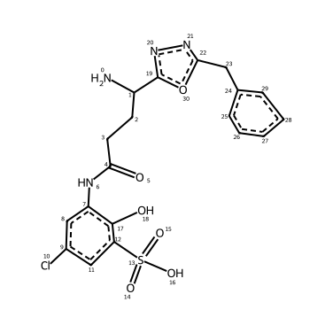 NC(CCC(=O)Nc1cc(Cl)cc(S(=O)(=O)O)c1O)c1nnc(Cc2ccccc2)o1